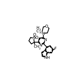 C[C@@H]1COCCN1c1cc(C2(C)CCCS2(=O)=O)nc(-c2cc(F)cc3[nH]ccc23)n1